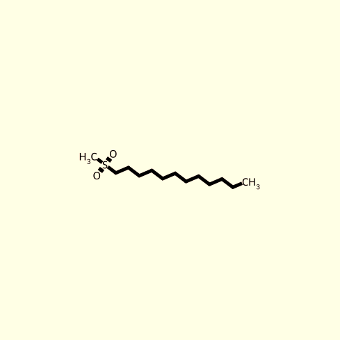 CCCCCCCCCCCCS(C)(=O)=O